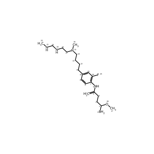 BC(CCC(=C)Nc1ccc(CCCCN(C)CCNCNC)cc1F)OC